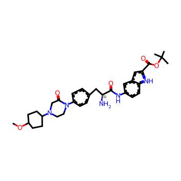 COC1CCC(N2CCN(c3ccc(C[C@H](N)C(=O)Nc4ccc5[nH]c(C(=O)OC(C)(C)C)cc5c4)cc3)C(=O)C2)CC1